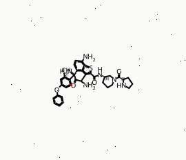 Cc1cc(Oc2ccccc2)ccc1C1(N)C(=O)C(N)c2c(C(=O)N[C@@H]3CCCN(C(=O)[C@H]4CCCN4)C3)sc3c(N)ccc1c23